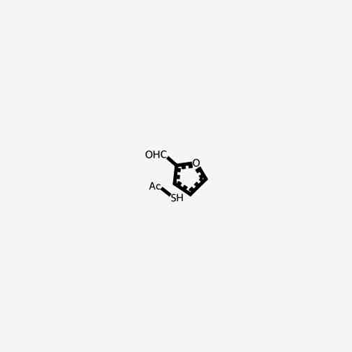 CC(=O)S.O=Cc1ccco1